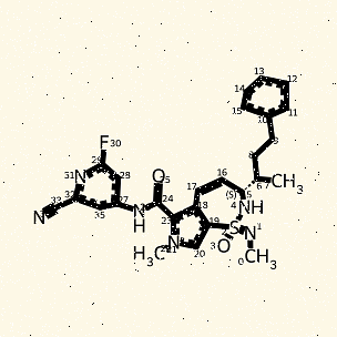 CN=S1(=O)N[C@@H](C(C)CCc2ccccc2)C=Cc2c1cn(C)c2C(=O)Nc1cc(F)nc(C#N)c1